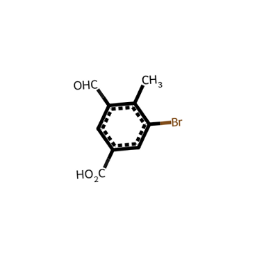 Cc1c(Br)cc(C(=O)O)cc1C=O